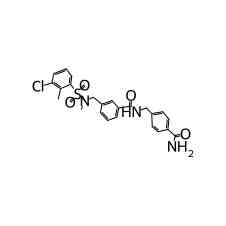 Cc1c(Cl)cccc1S(=O)(=O)N(C)Cc1cccc(C(=O)NCc2ccc(C(N)=O)cc2)c1